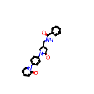 O=C(NCC1CC(=O)N(c2ccc(-n3ccccc3=O)cc2)C1)c1ccccc1